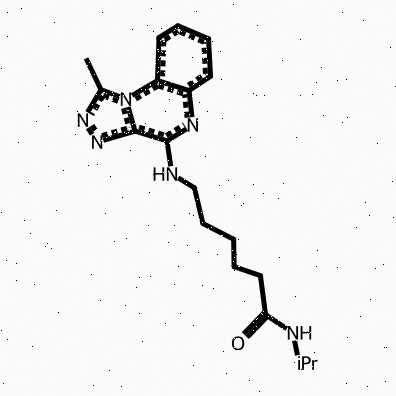 Cc1nnc2c(NCCCCCC(=O)NC(C)C)nc3ccccc3n12